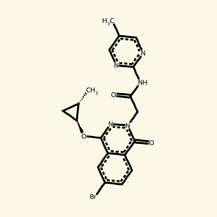 Cc1cnc(NC(=O)Cn2nc(O[C@H]3C[C@@H]3C)c3cc(Br)ccc3c2=O)nc1